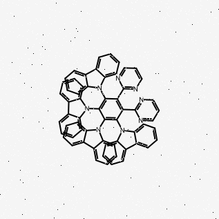 c1cnc(-c2c(-c3ncccn3)c(-n3c4ccccc4c4ccccc43)c(-n3c4ccccc4c4ccccc43)c(-n3c4ccccc4c4ccccc43)c2-n2c3ccccc3c3ccccc32)nc1